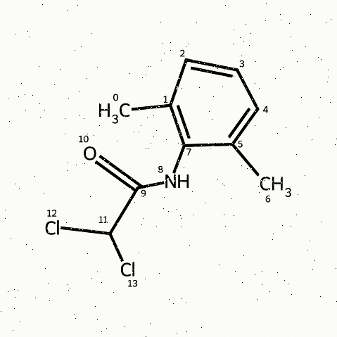 Cc1cccc(C)c1NC(=O)C(Cl)Cl